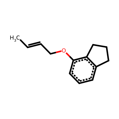 CC=CCOc1cccc2c1CCC2